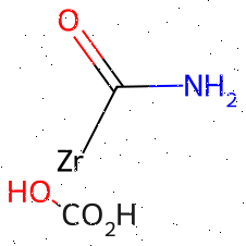 N[C](=O)[Zr].O=C(O)O